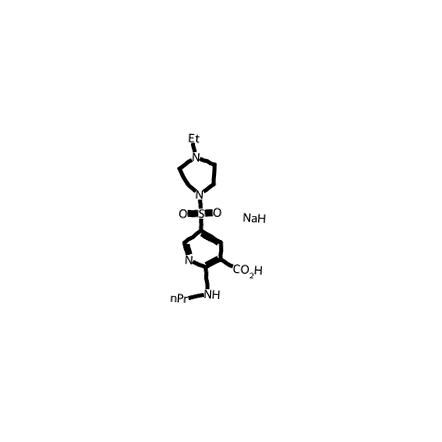 CCCNc1ncc(S(=O)(=O)N2CCN(CC)CC2)cc1C(=O)O.[NaH]